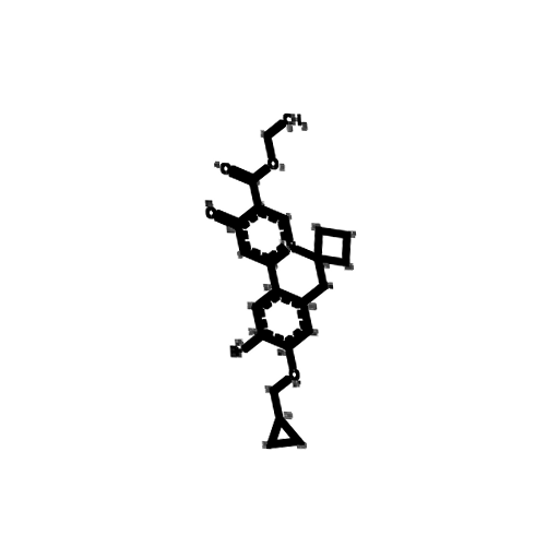 CCOC(=O)c1cn2c(cc1=O)-c1cc(Br)c(OCC3CC3)cc1CC21CCC1